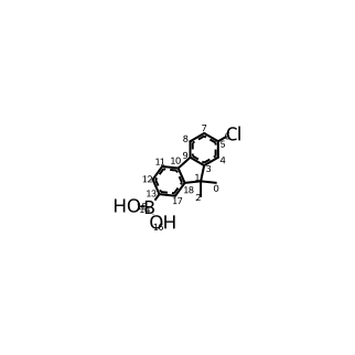 CC1(C)c2cc(Cl)ccc2-c2ccc(B(O)O)cc21